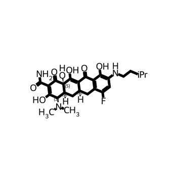 CC(C)CCNc1cc(F)c2c(c1O)C(=O)C1=C(O)[C@]3(O)C(=O)C(C(N)=O)=C(O)[C@@H](N(C)C)[C@@H]3C[C@@H]1C2